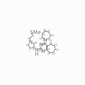 CSCCN1CCC(Nc2nc3c(c(N4CCCCCC4)n2)CCCCC3)C1